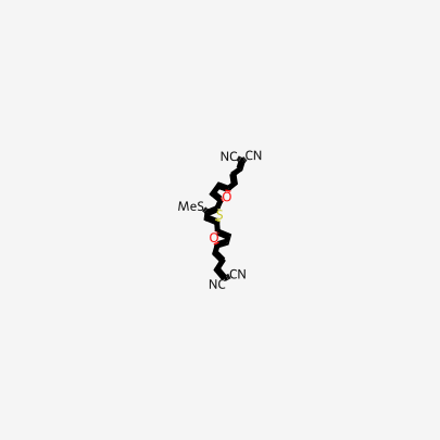 CSc1cc(-c2ccc(/C=C/C=C(C#N)C#N)o2)sc1-c1ccc(/C=C/C=C(C#N)C#N)o1